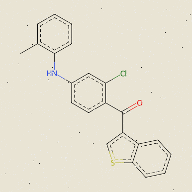 Cc1ccccc1Nc1ccc(C(=O)c2csc3ccccc23)c(Cl)c1